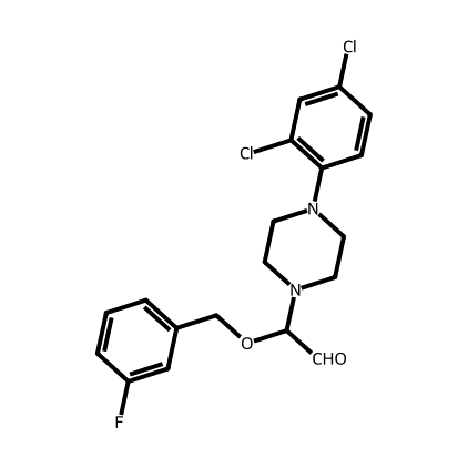 O=CC(OCc1cccc(F)c1)N1CCN(c2ccc(Cl)cc2Cl)CC1